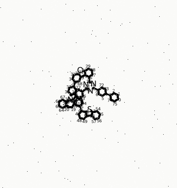 c1ccc(-c2ccc(-c3nc(-c4ccc5c(c4)oc4ccccc45)nc(-c4cccc5oc6ccc(-c7ccc8c(c7)c7ccc(-c9cccc%10c9sc9ccccc9%10)cc7n8-c7ccccc7)cc6c45)n3)cc2)cc1